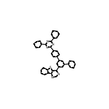 c1ccc(-c2cc(-c3ccc(-c4nc(-c5ccccc5)nc(-c5ccccc5)n4)cc3)cc(-c3ncnc4c3sc3ccccc34)c2)cc1